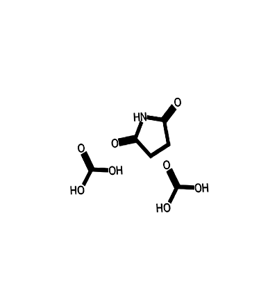 O=C(O)O.O=C(O)O.O=C1CCC(=O)N1